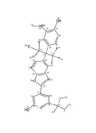 CCC(C)(CC)c1cc(O)cc(-c2nc3cc(C(c4ccc(O)c(NC)c4)(C(F)(F)F)C(F)(F)F)ccc3o2)c1